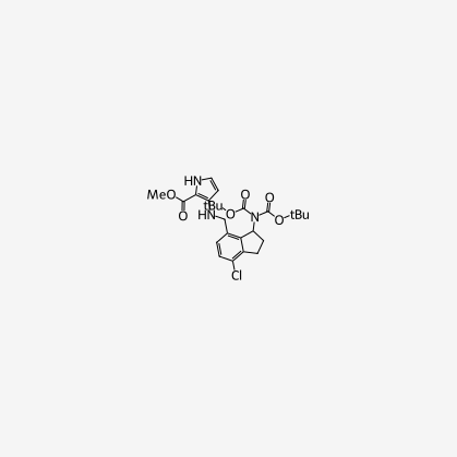 COC(=O)c1[nH]ccc1NCc1ccc(Cl)c2c1C(N(C(=O)OC(C)(C)C)C(=O)OC(C)(C)C)CC2